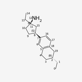 CC[C@@H]1CCc2cc([C@H]3CC[C@](N)(CC)C3)ccc2C1